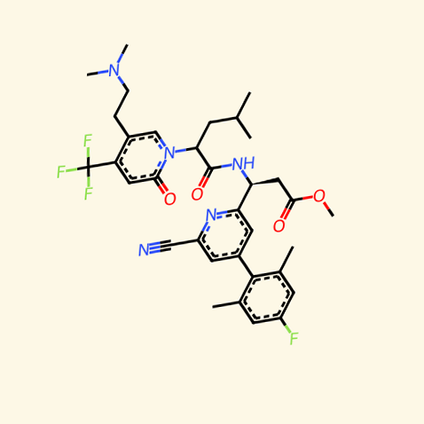 COC(=O)C[C@H](NC(=O)C(CC(C)C)n1cc(CCN(C)C)c(C(F)(F)F)cc1=O)c1cc(-c2c(C)cc(F)cc2C)cc(C#N)n1